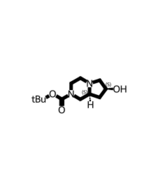 CC(C)(C)OC(=O)N1CCN2C[C@@H](O)C[C@H]2C1